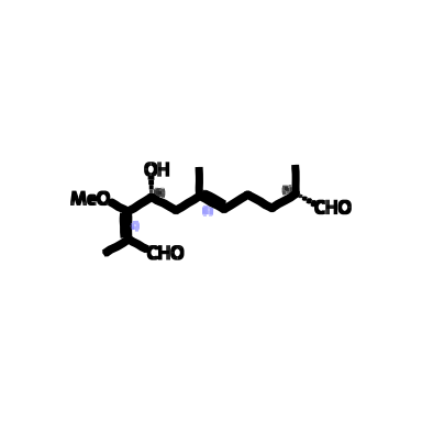 CO/C(=C(\C)C=O)[C@H](O)C/C(C)=C/CC[C@H](C)C=O